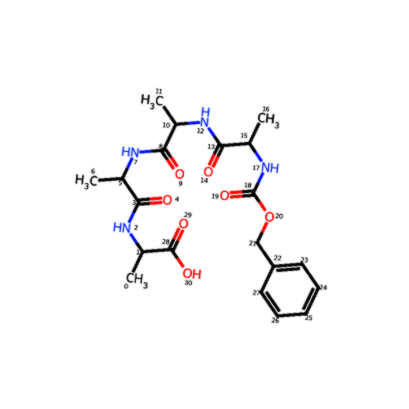 CC(NC(=O)C(C)NC(=O)C(C)NC(=O)C(C)NC(=O)OCc1ccccc1)C(=O)O